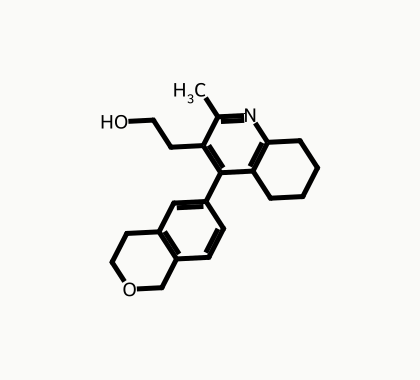 Cc1nc2c(c(-c3ccc4c(c3)CCOC4)c1CCO)CCCC2